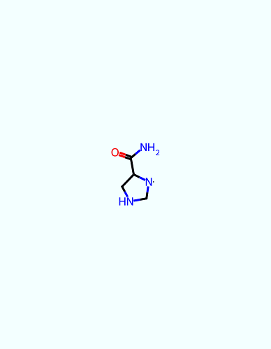 NC(=O)C1CNC[N]1